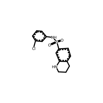 O=S(=O)(Nc1cccc(Cl)c1)c1ccc2c(c1)NCCC2